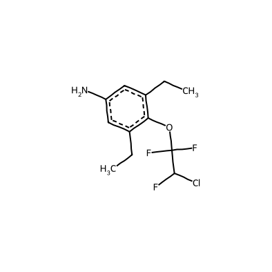 CCc1cc(N)cc(CC)c1OC(F)(F)C(F)Cl